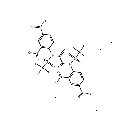 O=C(C(=O)N(c1ccc([N+](=O)[O-])cc1[N+](=O)[O-])S(=O)(=O)C(F)(F)F)N(c1ccc([N+](=O)[O-])cc1[N+](=O)[O-])S(=O)(=O)C(F)(F)F